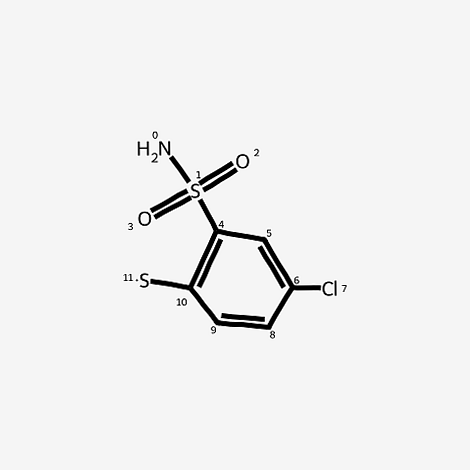 NS(=O)(=O)c1cc(Cl)ccc1[S]